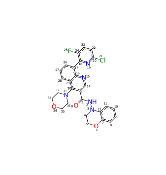 O=C(NN1CCOc2ccccc21)c1cnc2c(-c3nc(Cl)ccc3F)cccc2c1N1CCOCC1